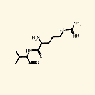 CC(C)C([C]=O)NC(=O)C(N)CCCNC(=N)N